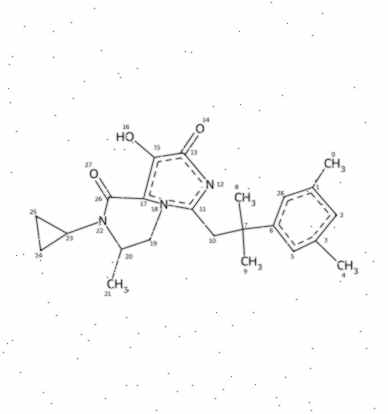 Cc1cc(C)cc(C(C)(C)Cc2nc(=O)c(O)c3n2CC(C)N(C2CC2)C3=O)c1